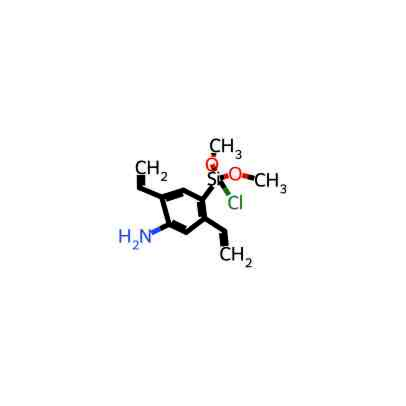 C=Cc1cc([Si](Cl)(OC)OC)c(C=C)cc1N